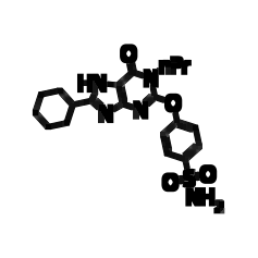 CCCn1c(Oc2ccc(S(N)(=O)=O)cc2)nc2nc(C3CCCCC3)[nH]c2c1=O